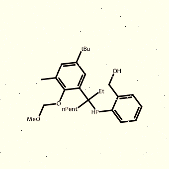 CCCCCC(CC)(Pc1ccccc1CO)c1cc(C(C)(C)C)cc(C)c1OCOC